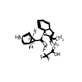 CC1(C)CC2C=CC=CC2N1C(=O)C1[C@H]2CNC[C@@H]12.O=C(O)C(F)(F)F